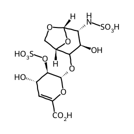 O=C(O)C1=C[C@H](O)[C@@H](OS(=O)(=O)O)[C@H](OC2[C@@H]3CO[C@@H](O3)[C@H](NS(=O)(=O)O)[C@H]2O)O1